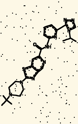 CC(C)n1cnnc1-c1cccc(NC(=O)c2cc3sc(N4CCN(C(C)(C)C)CC4)nc3cn2)n1